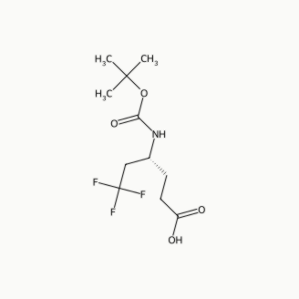 CC(C)(C)OC(=O)N[C@H](CCC(=O)O)CC(F)(F)F